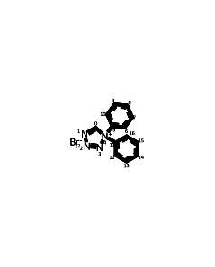 C1=NN=N[N+]1(c1ccccc1)c1ccccc1.[Br-]